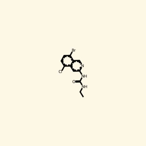 CCNC(=O)Nc1cc2c(Cl)ccc(Br)c2cn1